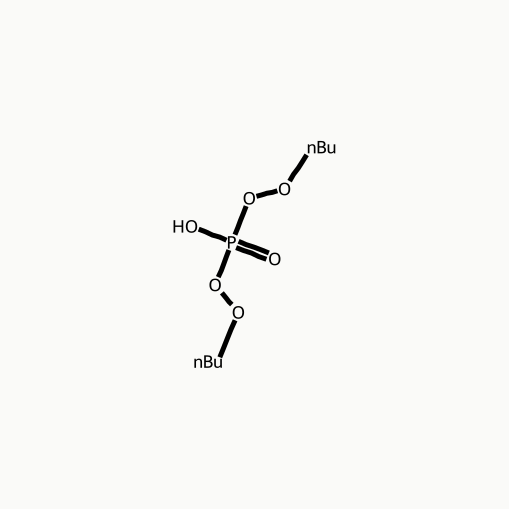 CCCCOOP(=O)(O)OOCCCC